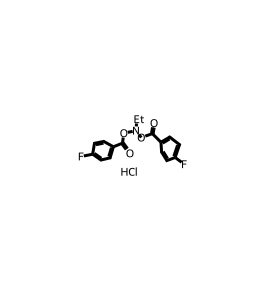 CCN(OC(=O)c1ccc(F)cc1)OC(=O)c1ccc(F)cc1.Cl